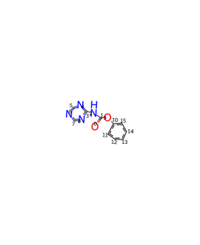 O=C(Nc1ncncn1)Oc1ccccc1